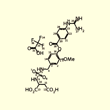 COc1cc(CNS(=O)(=O)NC(CC(=O)O)C(=O)O)ccc1OC(=O)c1ccc(NC(=N)N)cc1.O=C(O)C(F)(F)F